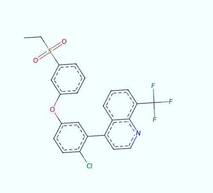 CCS(=O)(=O)c1cccc(Oc2ccc(Cl)c(-c3ccnc4c(C(F)(F)F)cccc34)c2)c1